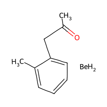 CC(=O)Cc1ccccc1C.[BeH2]